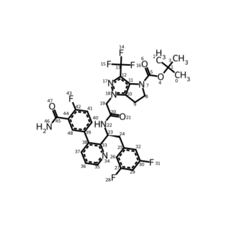 CC(C)(C)OC(=O)N1CCc2c1c(C(F)(F)F)nn2CC(=O)N[C@@H](Cc1cc(F)cc(F)c1)c1ncccc1-c1ccc(F)c(C(N)=O)c1